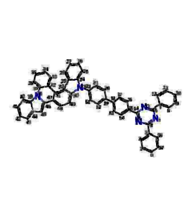 c1ccc(-c2nc(-c3ccccc3)nc(-c3ccc(-c4ccc(-n5c6ccccc6c6c7c8ccccc8n8c9ccccc9cc8c7ccc65)cc4)cc3)n2)cc1